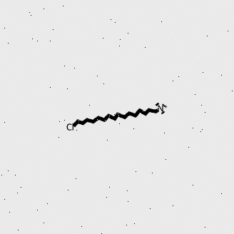 C[N+](C)(C)CCCCCCCCCCCCCCCCCl